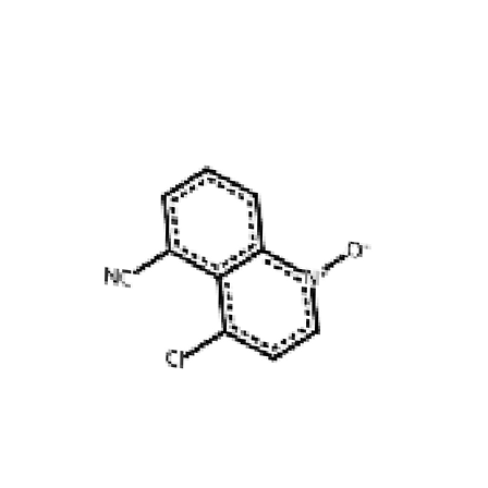 N#Cc1cccc2c1c(Cl)cc[n+]2[O-]